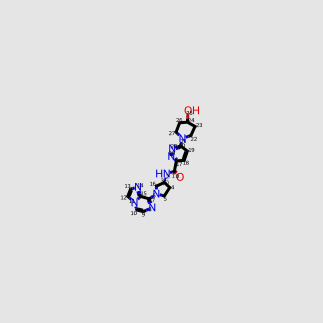 O=C(N[C@H]1CCN(c2nccn3ccnc23)C1)c1ccc(N2CCC(O)CC2)nn1